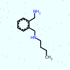 CCCCNCc1ccccc1CN